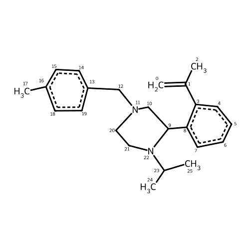 C=C(C)c1ccccc1C1CN(Cc2ccc(C)cc2)CCN1C(C)C